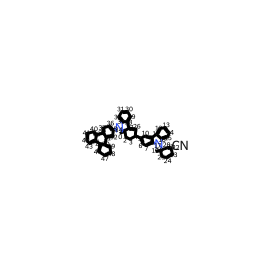 CC12CCC(c3ccc4c(c3)c3ccccc3n4C3(C)C=C(C#N)C=CC3)C=C1c1ccccc1N2c1ccc2c3ccccc3c3ccccc3c2c1